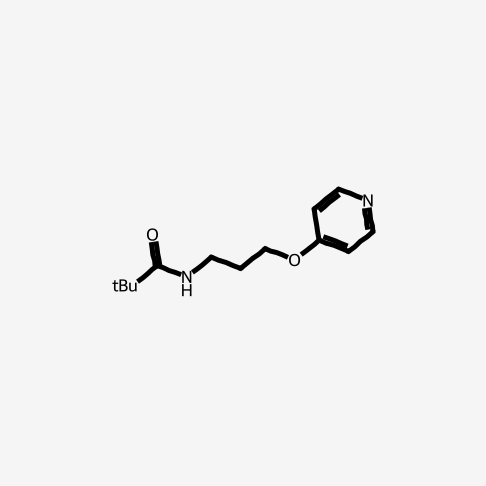 CC(C)(C)C(=O)NCCCOc1ccncc1